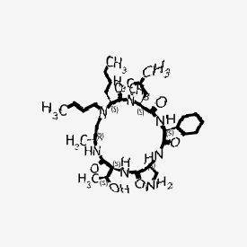 CCCC[C@H]1C(=O)N(C)[C@@H](CC(C)C)C(=O)N[C@@H](C2CCCCC2)C(=O)N[C@@H](CN)C(=O)N[C@@H]([C@H](C)O)C(=O)N[C@H](C)CN1CCCC